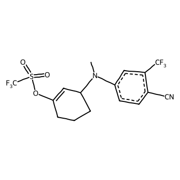 CN(c1ccc(C#N)c(C(F)(F)F)c1)C1C=C(OS(=O)(=O)C(F)(F)F)CCC1